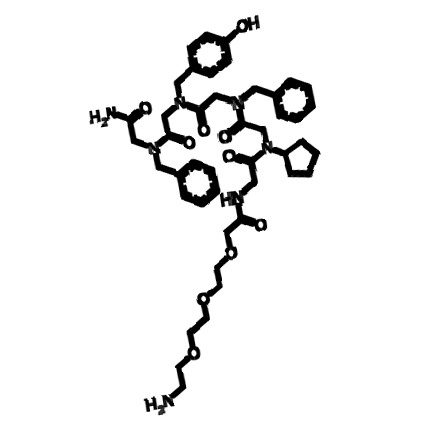 NCCOCCOCCOCC(=O)NCC(=O)N(CC(=O)N(CC(=O)N(CC(=O)N(CC(N)=O)Cc1ccccc1)Cc1ccc(O)cc1)Cc1ccccc1)C1CCCC1